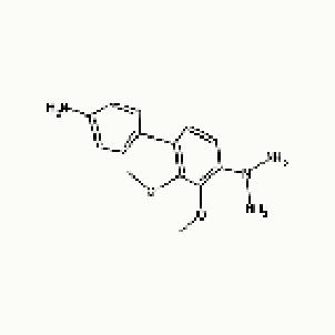 COc1c(-c2ccc(N)cc2)ccc(N(N)N)c1OC